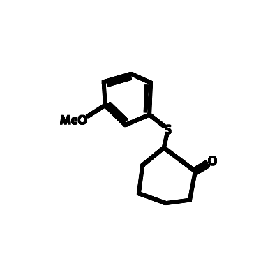 COc1cccc(SC2CCCCC2=O)c1